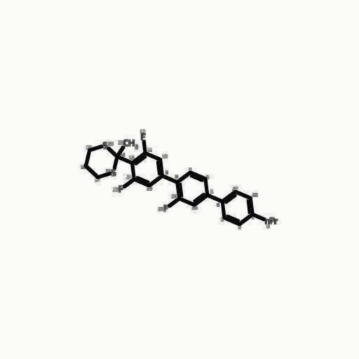 CCCc1ccc(-c2ccc(-c3cc(F)c(C4(C)SCCCS4)c(F)c3)c(F)c2)cc1